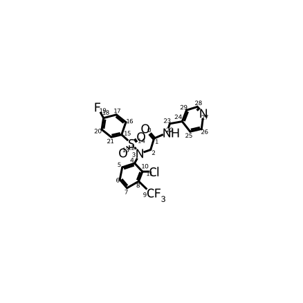 O=C(CN(c1cccc(C(F)(F)F)c1Cl)S(=O)(=O)c1ccc(F)cc1)NCc1ccncc1